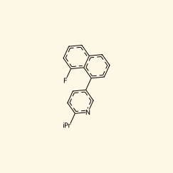 CC(C)c1ccc(-c2cccc3cccc(F)c23)cn1